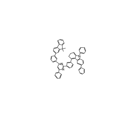 CC1(C)c2ccccc2-c2ccc(-c3cccc(-c4cc(-c5ccccc5)nc(-c5cccc(C6=c7c(n(-c8ccccc8)c8ccc(-c9ccccc9)cc78)=CCC6)c5)n4)c3)cc21